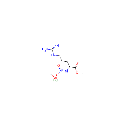 CO.COC(=O)C(CCCNC(=N)N)N[N+](=O)[O-].Cl